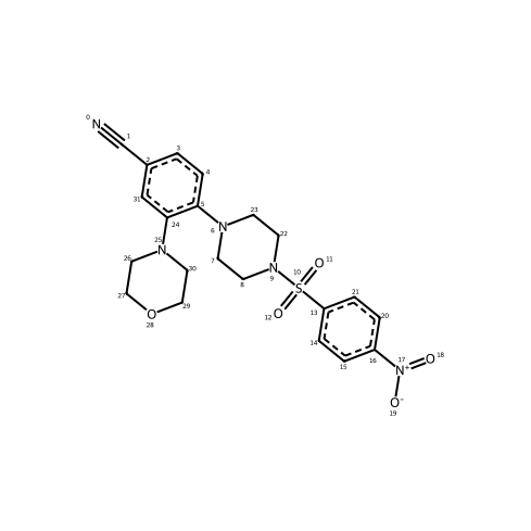 N#Cc1ccc(N2CCN(S(=O)(=O)c3ccc([N+](=O)[O-])cc3)CC2)c(N2CCOCC2)c1